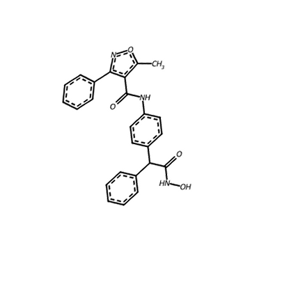 Cc1onc(-c2ccccc2)c1C(=O)Nc1ccc(C(C(=O)NO)c2ccccc2)cc1